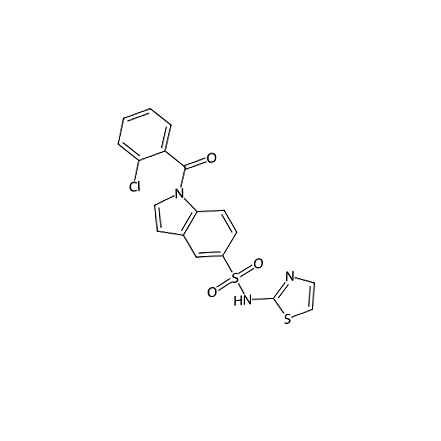 O=C(c1ccccc1Cl)n1ccc2cc(S(=O)(=O)Nc3nccs3)ccc21